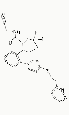 N#CCNC(=O)C1CC(F)(F)CCC1c1ccccc1-c1ccc(SCCc2ccccn2)cc1